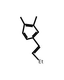 CC/C=C/c1ccc(C)c(C)c1